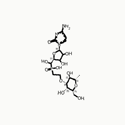 C[C@@H]1O[C@H](CO)[C@H](O)[C@H](OCCP(=O)(O)C(O)[C@H]2O[C@@H](n3ccc(N)nc3=O)C(O)C2O)[C@H]1O